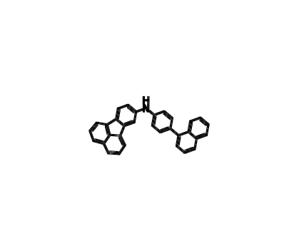 c1ccc2c(-c3ccc(Nc4ccc5c(c4)-c4cccc6cccc-5c46)cc3)cccc2c1